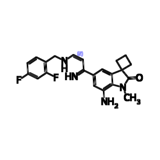 CN1C(=O)C2(CCC2)c2cc(C(=N)/C=C\NCc3ccc(F)cc3F)cc(N)c21